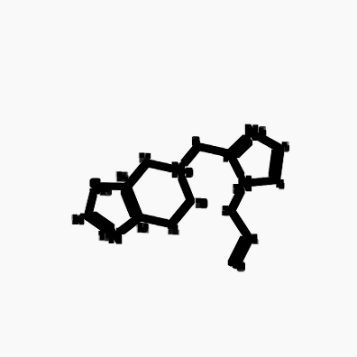 C=CCn1ccnc1CN1CCc2n[c]sc2C1